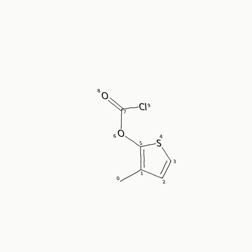 Cc1ccsc1OC(=O)Cl